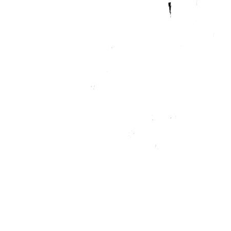 C[C@H](Oc1ccc(S(C)(=O)=O)cc1C(=O)N1Cc2ccc(-c3c(F)cccc3F)cc2C1)C(F)(F)F